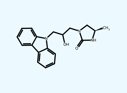 C[C@@H]1CN(CC(O)Cn2c3ccccc3c3ccccc32)C(=O)N1